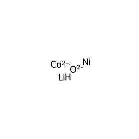 [Co+2].[LiH].[Ni].[O-2]